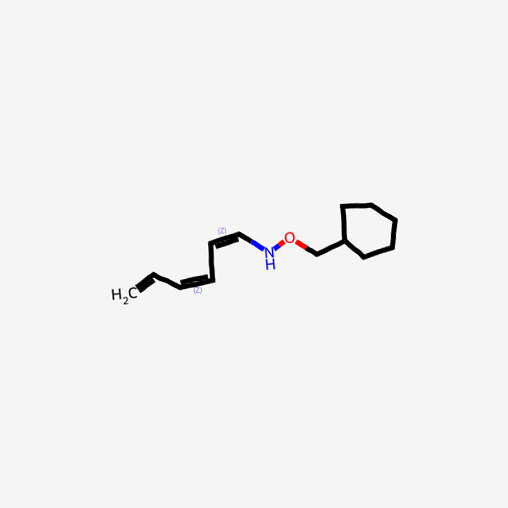 C=C/C=C\C=C/NOCC1CCCCC1